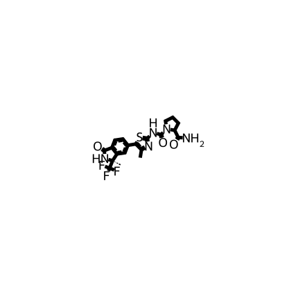 Cc1nc(NC(=O)N2CCCC2C(N)=O)sc1-c1ccc2c(c1)[C@@](C)(C(F)(F)F)NC2=O